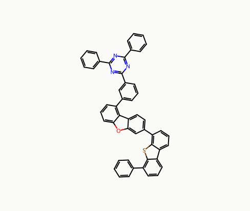 c1ccc(-c2nc(-c3ccccc3)nc(-c3cccc(-c4cccc5oc6cc(-c7cccc8c7sc7c(-c9ccccc9)cccc78)ccc6c45)c3)n2)cc1